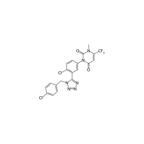 Cn1c(C(F)(F)F)cc(=O)n(-c2ccc(Cl)c(-c3nnnn3Cc3ccc(Cl)cc3)c2)c1=O